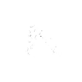 C=C(/C=N\C=C/N)c1cc(C(=O)NC[C@H]2CC[C@H](CNC(=O)OCC)CC2)c2ccccc2n1